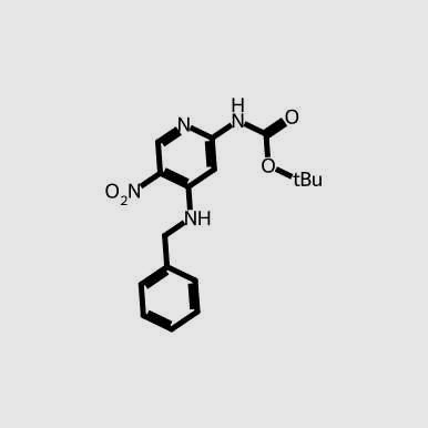 CC(C)(C)OC(=O)Nc1cc(NCc2ccccc2)c([N+](=O)[O-])cn1